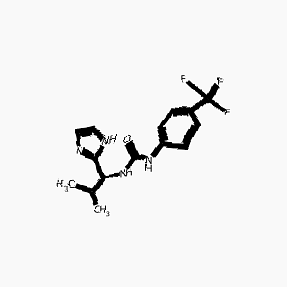 CC(C)[C@H](NC(=O)Nc1ccc(C(F)(F)F)cc1)c1ncc[nH]1